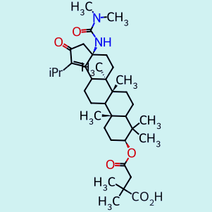 CC(C)C1=C2C3CCC4[C@@]5(C)CC[C@H](OC(=O)CC(C)(C)C(=O)O)C(C)(C)C5CC[C@@]4(C)[C@]3(C)CC[C@@]2(NC(=O)N(C)C)CC1=O